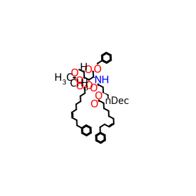 CCCCCCCCCCC[C@H](CC(=O)N[C@H]1[C@H](OCc2ccccc2)O[C@@H]2COC(C)(C)O[C@H]2[C@@H]1OC(=O)CCCCC/C=C\CCc1ccccc1)OC(=O)CCCCC/C=C\CCc1ccccc1